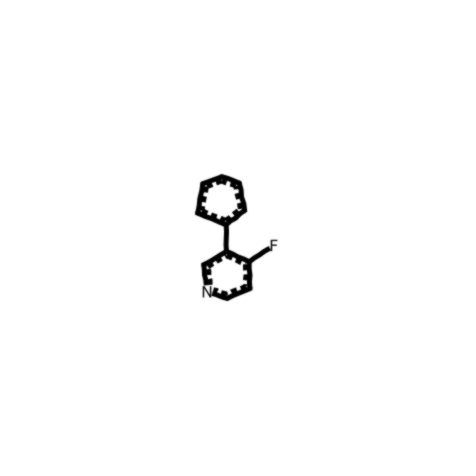 Fc1ccncc1-c1ccccc1